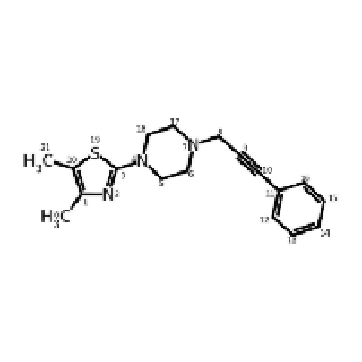 Cc1nc(N2CCN(CC#Cc3ccccc3)CC2)sc1C